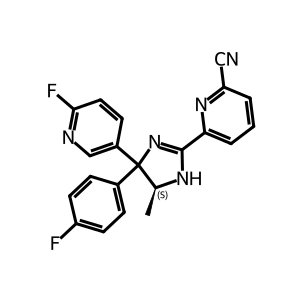 C[C@@H]1NC(c2cccc(C#N)n2)=NC1(c1ccc(F)cc1)c1ccc(F)nc1